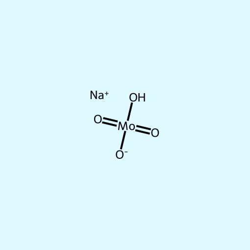 [Na+].[O]=[Mo](=[O])([O-])[OH]